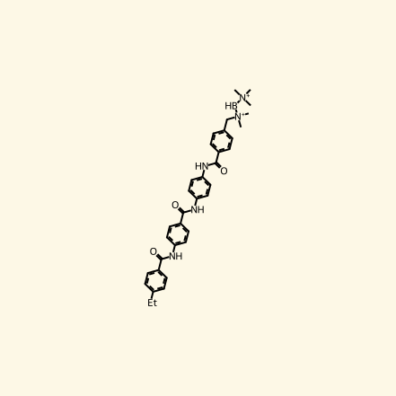 CCc1ccc(C(=O)Nc2ccc(C(=O)Nc3ccc(NC(=O)c4ccc(C[N+](C)(C)B[N+](C)(C)C)cc4)cc3)cc2)cc1